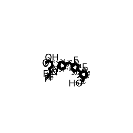 O=C(O)CC1CC(C(F)(F)F)=NN1c1ccc(Cc2ccc(-c3cc(CO)ccc3F)cc2F)cc1